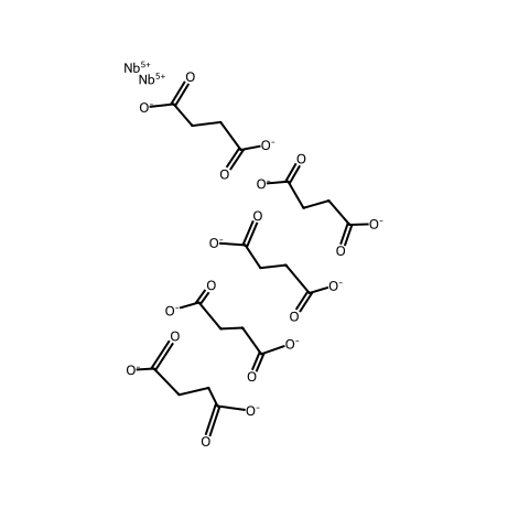 O=C([O-])CCC(=O)[O-].O=C([O-])CCC(=O)[O-].O=C([O-])CCC(=O)[O-].O=C([O-])CCC(=O)[O-].O=C([O-])CCC(=O)[O-].[Nb+5].[Nb+5]